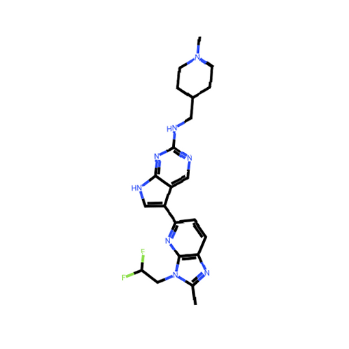 Cc1nc2ccc(-c3c[nH]c4nc(NCC5CCN(C)CC5)ncc34)nc2n1CC(F)F